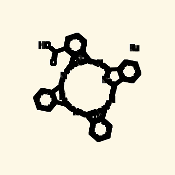 O=C(O)c1cccc2c3nc4nc(nc5[nH]c(nc6nc(nc([nH]3)c12)-c1ccccc1-6)c1ccccc51)-c1ccccc1-4.[Ru]